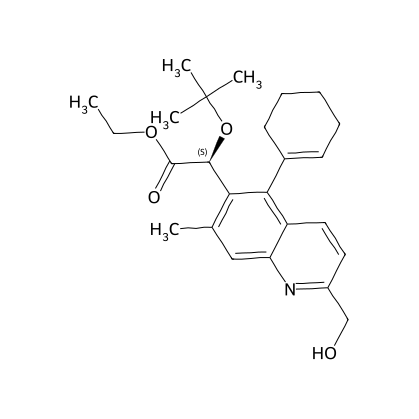 CCOC(=O)[C@@H](OC(C)(C)C)c1c(C)cc2nc(CO)ccc2c1C1=CCCCC1